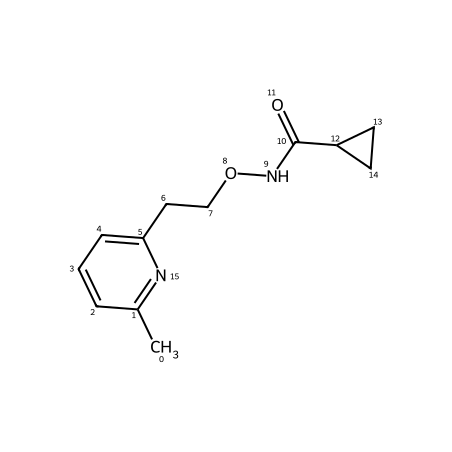 Cc1cccc(CCONC(=O)C2CC2)n1